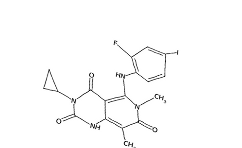 Cc1c(=O)n(C)c(Nc2ccc(I)cc2F)c2c(=O)n(C3CC3)c(=O)[nH]c12